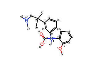 COc1ccccc1[N+](C)(C(=O)[O-])c1cccc(C(C)(C)CN(C)C)c1